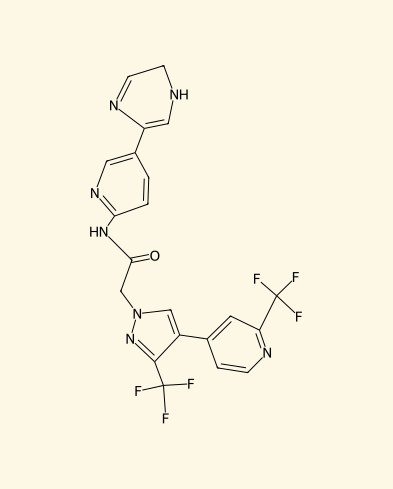 O=C(Cn1cc(-c2ccnc(C(F)(F)F)c2)c(C(F)(F)F)n1)Nc1ccc(C2=CNCC=N2)cn1